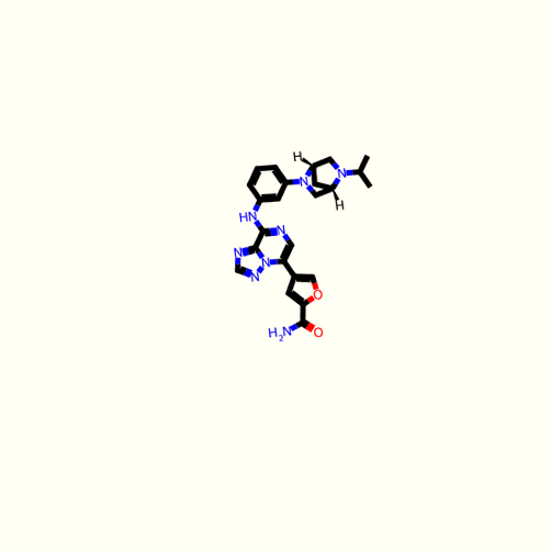 CC(C)N1C[C@@H]2C[C@H]1CN2c1cccc(Nc2ncc(-c3coc(C(N)=O)c3)n3ncnc23)c1